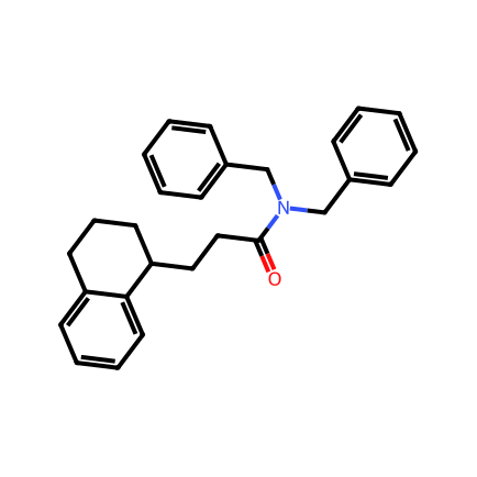 O=C(CCC1CCCc2ccccc21)N(Cc1ccccc1)Cc1ccccc1